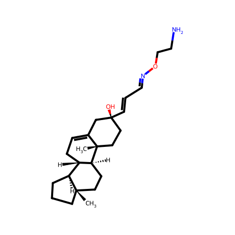 C[C@@]12CCC[C@H]1[C@@H]1CC=C3C[C@](O)(/C=C/C=N/OCCN)CC[C@]3(C)[C@H]1CC2